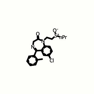 CCC[S+]([O-])CCN1C(=O)CN=C(c2ccccc2C)c2cc(Cl)ccc21